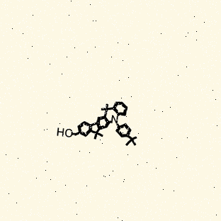 CC(C)(C)c1ccc(N2c3ccccc3C(C)(C)c3cc4c(cc32)C(C)(C)c2cc(CO)ccc2-4)cc1